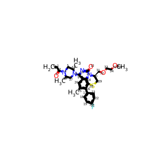 C=CC(=O)N1C[C@H](C)N(c2nc(=O)n3c4c(c(-c5ccc(F)cc5)c(C)cc24)SC[C@@H]3COCCOC)C[C@H]1C